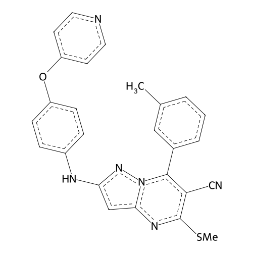 CSc1nc2cc(Nc3ccc(Oc4ccncc4)cc3)nn2c(-c2cccc(C)c2)c1C#N